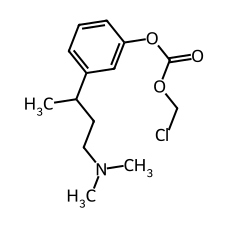 CC(CCN(C)C)c1cccc(OC(=O)OCCl)c1